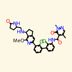 COc1nc(-c2cccc(-c3cccc(NC(=O)c4c(C)cnn(C)c4=O)c3Cl)c2Cl)cc2c1C(NCC1CCC(=O)N1)CC2